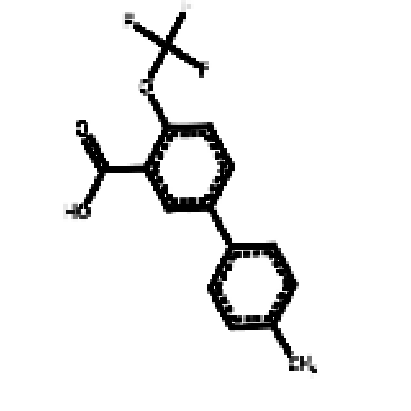 Cc1ccc(-c2ccc(OC(F)(F)F)c(C(=O)O)c2)cc1